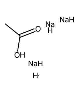 CC(=O)O.[H].[NaH].[NaH].[NaH]